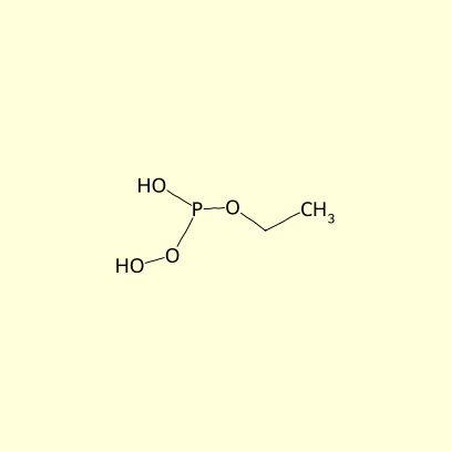 CCOP(O)OO